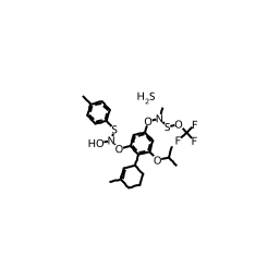 CC1=CC(c2c(OC(C)C)cc(ON(C)SOC(F)(F)F)cc2ON(O)Sc2ccc(C)cc2)CCC1.S